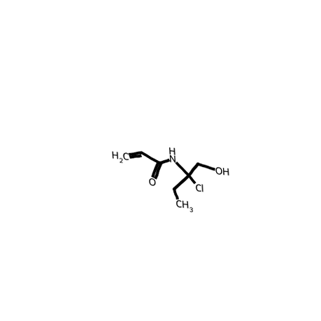 C=CC(=O)NC(Cl)(CC)CO